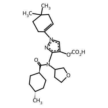 CC1(C)CC=C(n2cc(OC(=O)O)c(N(C(=O)[C@H]3CC[C@H](C)CC3)C3CCOC3)n2)CC1